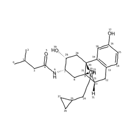 CC(C)CC(=O)N[C@H]1C[C@@]2(O)[C@H]3Cc4ccc(O)cc4[C@@]2(CCN3CC2CC2)C[C@H]1O